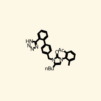 CCCCc1cn(-c2c(C)cccc2C(C)=O)c(=O)n1Cc1ccc(-c2ccccc2-c2nnn[nH]2)cc1